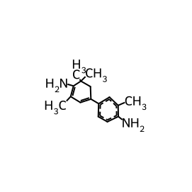 CC1=C(N)C(C)(C)CC(c2ccc(N)c(C)c2)=C1